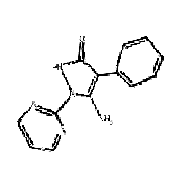 Nc1c(-c2ccccc2)c(=O)[nH]n1-c1ncccn1